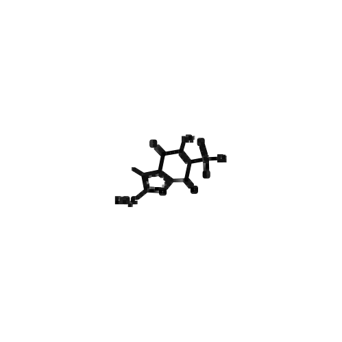 CCCC1=C(S(=O)(=O)CC)C(=O)c2oc(C(=O)OCC)c(C)c2C1=O